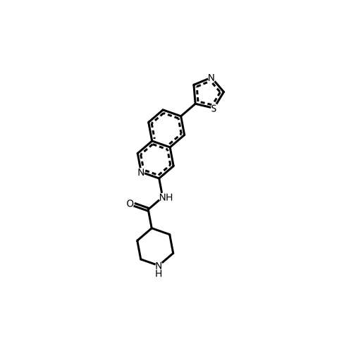 O=C(Nc1cc2cc(-c3cncs3)ccc2cn1)C1CCNCC1